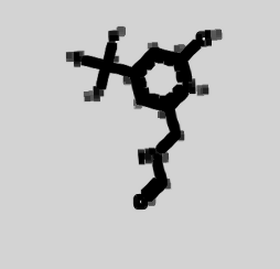 O=CNCc1cc(C(F)(F)F)cc(Cl)n1